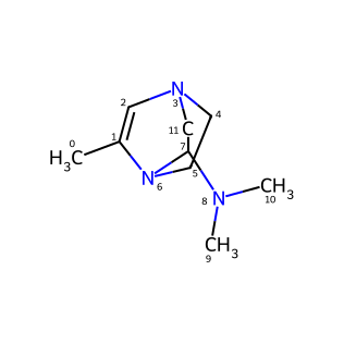 CC1=CN2CCN1C(N(C)C)C2